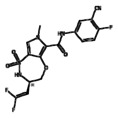 Cn1cc2c(c1C(=O)Nc1ccc(F)c(C#N)c1)OC[C@@H](C=C(F)F)NS2(=O)=O